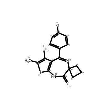 Cc1sc2c(c1C)C(c1ccc(Cl)cc1)=NC1(CCC1)C(=O)N2